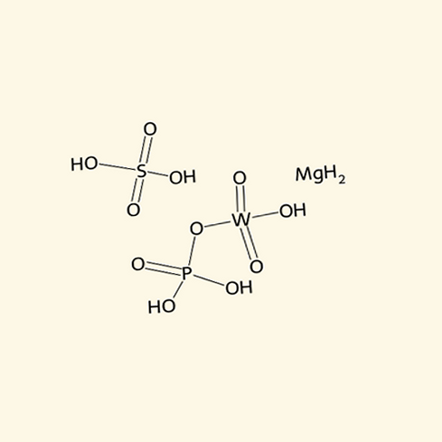 O=P(O)(O)[O][W](=[O])(=[O])[OH].O=S(=O)(O)O.[MgH2]